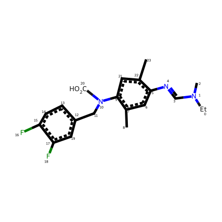 CCN(C)/C=N/c1cc(C)c(N(Cc2ccc(F)c(F)c2)C(=O)O)cc1C